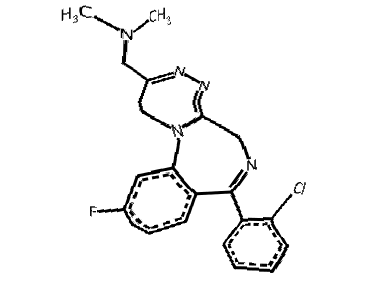 CN(C)CC1=NN=C2CN=C(c3ccccc3Cl)c3ccc(F)cc3N2C1